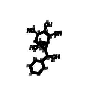 OC[C@]12[C@@H](O)[C@H](O)[C@@H](O)CN1[C@@H]2C(O)C1CCCCC1